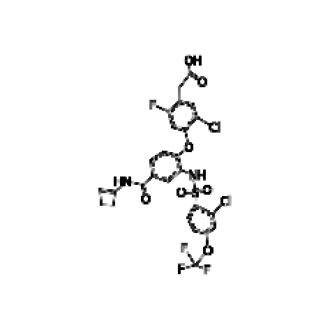 O=C(O)Cc1cc(Cl)c(Oc2ccc(C(=O)NC3=CCC3)cc2NS(=O)(=O)c2ccc(OC(F)(F)F)cc2Cl)cc1F